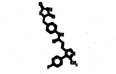 Cn1ncc(C=CC(=O)Nc2ccc(CC3SC(=O)NC3=O)cc2)c1-c1ccc(F)cc1